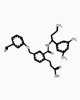 CCCC(NC(=O)c1cc(COc2cccc(C#N)c2)ccc1CCC(=O)O)c1cc(C)cc(C)c1